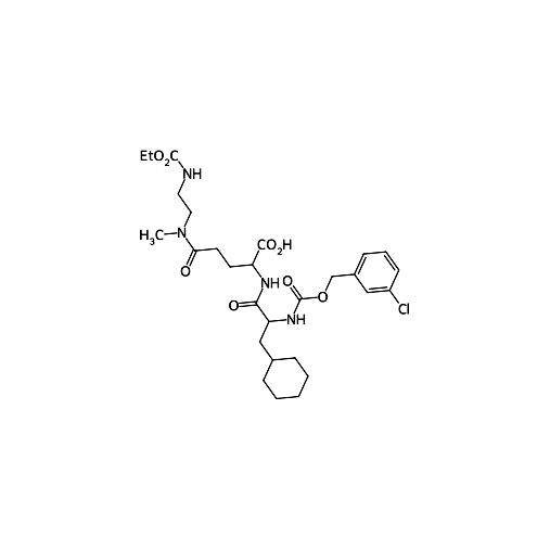 CCOC(=O)NCCN(C)C(=O)CCC(NC(=O)C(CC1CCCCC1)NC(=O)OCc1cccc(Cl)c1)C(=O)O